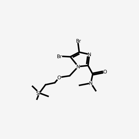 CN(C)C(=O)c1nc(Br)c(Br)n1COCC[Si](C)(C)C